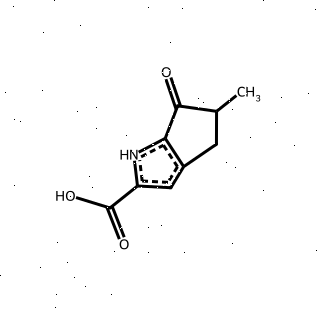 CC1Cc2cc(C(=O)O)[nH]c2C1=O